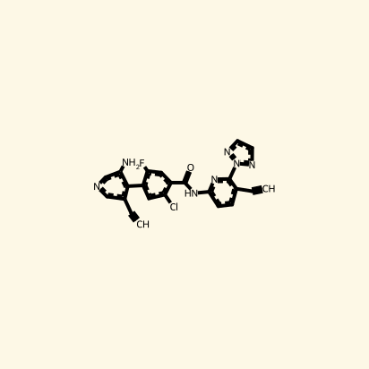 C#Cc1ccc(NC(=O)c2cc(F)c(-c3c(N)cncc3C#C)cc2Cl)nc1-n1nccn1